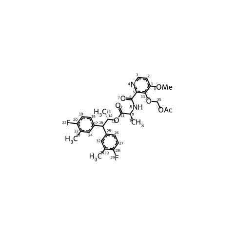 COc1ccnc(C(=O)N[C@@H](C)C(=O)O[C@@H](C)C(c2ccc(F)c(C)c2)c2ccc(F)c(C)c2)c1OCOC(C)=O